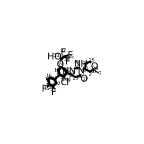 C[C@H]1C[C@@H](N2C(=N)N[C@](C)(c3cccc(-c4ccc(F)c(F)c4)c3Cl)CC2=O)CCO1.O=C(O)C(F)(F)F